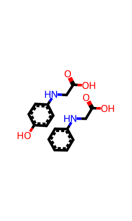 O=C(O)CNc1ccc(O)cc1.O=C(O)CNc1ccccc1